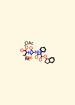 CC(=O)OCOC(=O)C(=C(C)O)N1C(=O)C(NC(=O)C(C(=O)OC2CCc3ccccc32)c2ccccc2)C1SC(C)=O